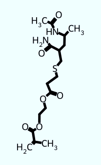 C=C(C)C(=O)OCCOC(=O)CCSCC(CC(C)NC(C)=O)C(N)=O